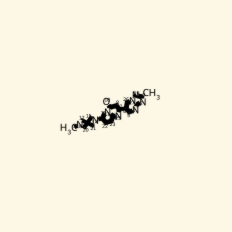 Cc1nc2ncc(-c3cc(=O)n4cc(N5CC6(CN(C)C6)C5)ccc4n3)cn2n1